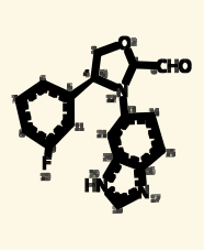 O=CC1OC[C@H](c2cccc(F)c2)N1c1ccc2nc[nH]c2c1